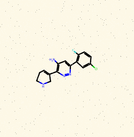 Nc1cc(-c2cc(Cl)ccc2F)nnc1C1=CCCNC1